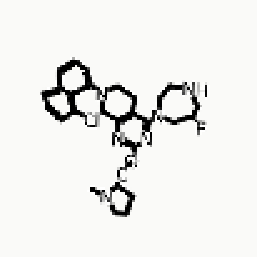 CN1CCC[C@H]1COc1nc2c(c(N3CCNC[C@@H](F)C3)n1)CCN(c1cccc3cccc(Cl)c13)C2